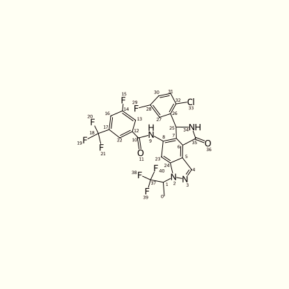 CC(n1ncc2c3c(c(NC(=O)c4cc(F)cc(C(F)(F)F)c4)cc21)C(c1cc(F)ccc1Cl)NC3=O)C(F)(F)F